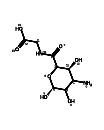 NC1C(O)[C@H](O)OC(C(=O)NCC(=O)O)[C@H]1O